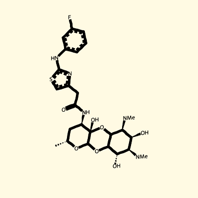 CN[C@@H]1[C@H](O)[C@H](NC)C2O[C@]3(O)C(OC2[C@H]1O)O[C@H](C)C[C@H]3NC(=O)Cc1csc(Nc2cccc(F)c2)n1